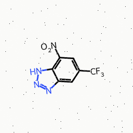 O=[N+]([O-])c1cc(C(F)(F)F)cc2nn[nH]c12